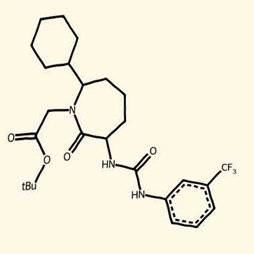 CC(C)(C)OC(=O)CN1C(=O)C(NC(=O)Nc2cccc(C(F)(F)F)c2)CCCC1C1CCCCC1